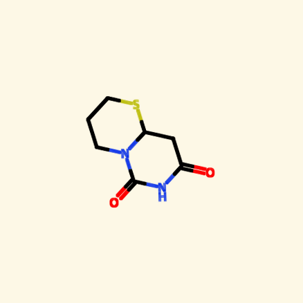 O=C1CC2SCCCN2C(=O)N1